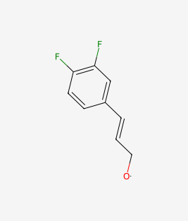 [O]CC=Cc1ccc(F)c(F)c1